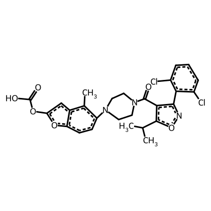 Cc1c(N2CCN(C(=O)c3c(-c4c(Cl)cccc4Cl)noc3C(C)C)CC2)ccc2oc(OC(=O)O)cc12